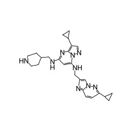 c1cc2nc(CNc3cc(NCC4CCNCC4)nc4c(C5CC5)cnn34)cn2nc1C1CC1